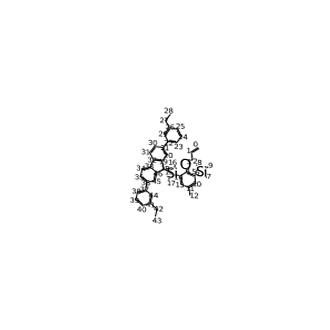 C=CCOc1c([Si](C)(C)C)cc(C)cc1[Si](C)(C)C1c2cc(-c3cccc(CC)c3)ccc2-c2ccc(-c3cccc(CC)c3)cc21